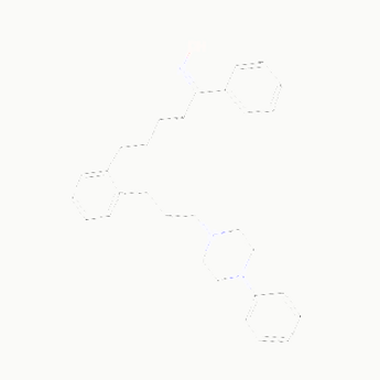 ON=C(CCCCc1ccccc1CCCN1CCN(c2ccccc2)CC1)c1ccccc1